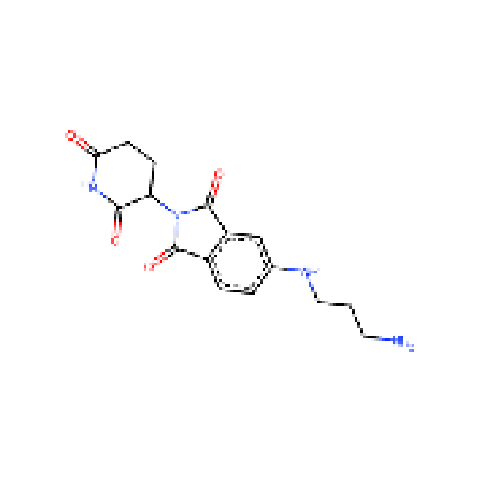 NCCCNc1ccc2c(c1)C(=O)N(C1CCC(=O)NC1=O)C2=O